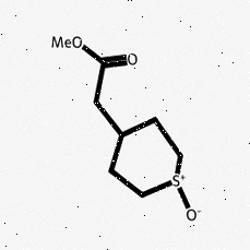 COC(=O)CC1CC[S+]([O-])CC1